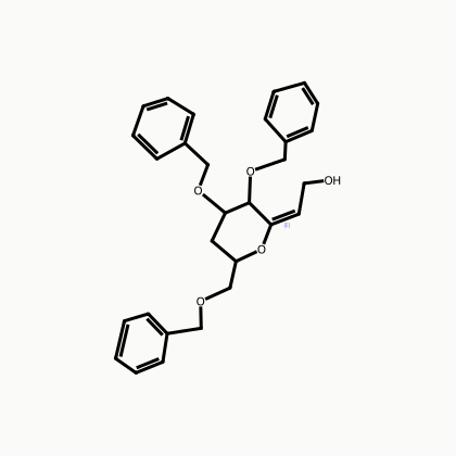 OC/C=C1/OC(COCc2ccccc2)CC(OCc2ccccc2)C1OCc1ccccc1